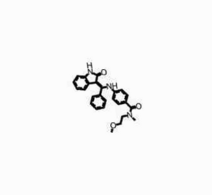 COCCN(C)C(=O)c1ccc(N/C(=C2\C(=O)Nc3ccccc32)c2ccccc2)cc1